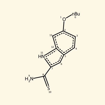 CCCCOc1ccc2cc(C(N)=S)[nH]c2c1